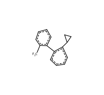 FC(F)(F)c1ccccc1-c1ccccc1C1CC1